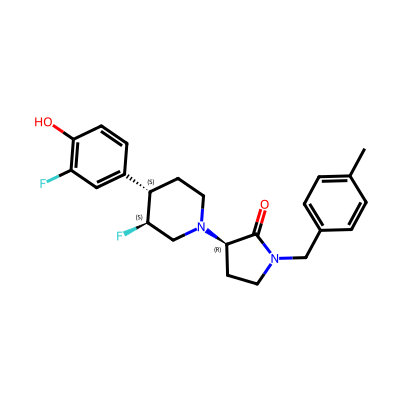 Cc1ccc(CN2CC[C@@H](N3CC[C@@H](c4ccc(O)c(F)c4)[C@H](F)C3)C2=O)cc1